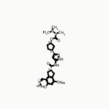 CCC/N=C\c1c(O)cc(OC)c2c1C[C@H](C(=O)Nc1cc([C@H]3CC[C@@H](OC(=O)N(C)N(C)C)C3)n[nH]1)C2